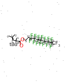 CC(C)=CC(C)(C(=O)OCCC(F)(F)C(F)(F)C(F)(F)C(F)(F)C(F)(F)C(F)(F)C(F)(F)C(F)(F)F)C(C)(C)C